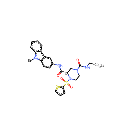 CCOC(=O)CNC(=O)N1CCN(S(=O)(=O)c2cccs2)[C@H](C(=O)Nc2ccc3c(c2)c2ccccc2n3CC)C1